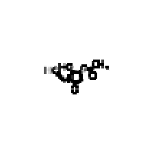 C#CCN1C(=O)CC(OC(C)=O)C1O